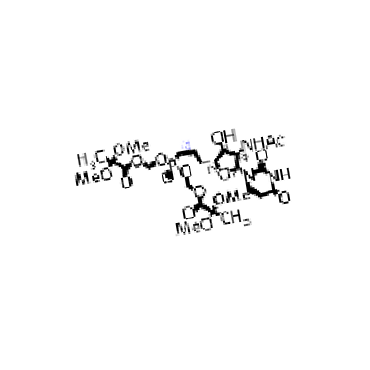 COC(C)(OC)C(=O)OCOP(=O)(/C=C\C[C@H]1O[C@@H](n2ccc(=O)[nH]c2=O)[C@H](NC(C)=O)[C@@H]1O)OCOC(=O)C(C)(OC)OC